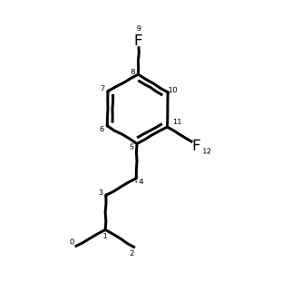 CC(C)C[CH]c1ccc(F)cc1F